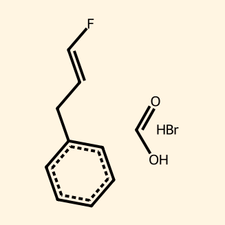 Br.FC=CCc1ccccc1.O=CO